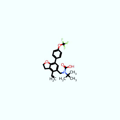 C=Cc1c(CN(C(=O)O)C(C)(C)C)cc(-c2ccc(OC(F)(F)F)cc2)c2c1CCO2